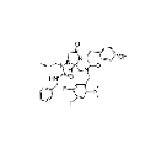 C=CCN(C(=O)NCc1ccccc1)N1CC(=O)N2[C@@H](Cc3ccc(O)cc3)C(=O)N(Cc3cc(F)c(F)cc3N(C)C)C[C@@H]21